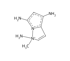 C[N+]1(N)C=Cc2c(N)cc(N)n21